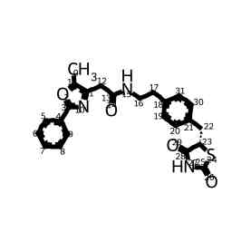 Cc1oc(-c2ccccc2)nc1CC(=O)NCCc1ccc(C[C@@H]2SC(=O)NC2=O)cc1